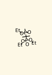 CCOP(C)(=O)C(C)(C)P(=O)(OCC)OCC